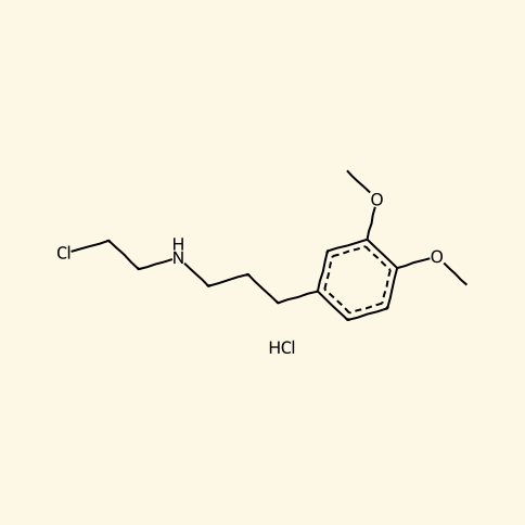 COc1ccc(CCCNCCCl)cc1OC.Cl